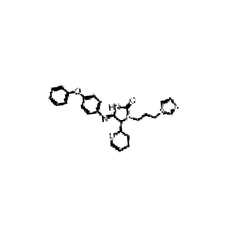 O=C1NC(=Nc2ccc(Oc3ccccc3)cc2)C(C2CCC=CO2)N1CCCn1ccnc1